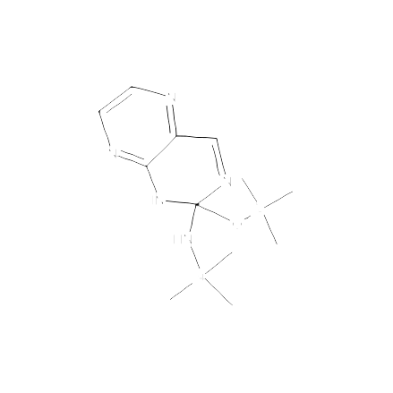 C[Si](C)(C)NC1(O[Si](C)(C)C)N=Cc2nccnc2N1